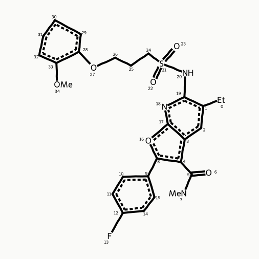 CCc1cc2c(C(=O)NC)c(-c3ccc(F)cc3)oc2nc1NS(=O)(=O)CCCOc1ccccc1OC